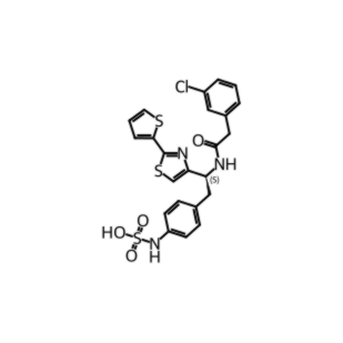 O=C(Cc1cccc(Cl)c1)N[C@@H](Cc1ccc(NS(=O)(=O)O)cc1)c1csc(-c2cccs2)n1